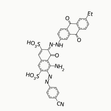 CCc1ccc2c(c1)C(=O)c1ccc(N/N=C3\C(=O)c4c(cc(S(=O)(=O)O)c(/N=N/c5ccc(C#N)cc5)c4N)C=C3S(=O)(=O)O)cc1C2=O